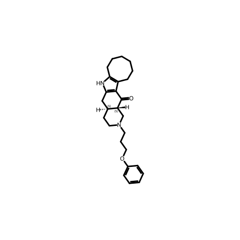 O=C1c2c([nH]c3c2CCCCCC3)C[C@@H]2CCN(CCCOc3ccccc3)C[C@@H]12